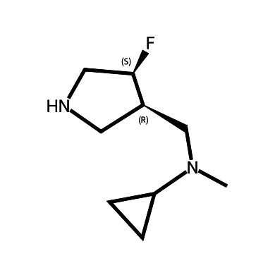 CN(C[C@H]1CNC[C@H]1F)C1CC1